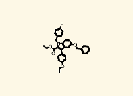 CCOC(=O)c1c(-c2ccc(OCC)cc2)c2cc(OCc3ccccc3)ccc2n1Cc1ccc(F)cc1